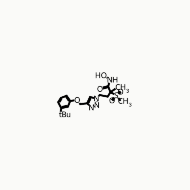 CC(C)(C)c1cccc(OCc2cn(CCC(C)(C(=O)NO)S(C)(=O)=O)nn2)c1